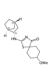 COC1CCC2(CC1)SC(N[C@H]1C[C@H]3CC[C@H]1C3)=NC2=O